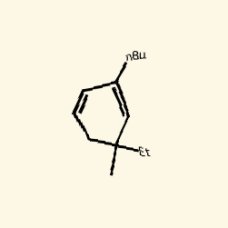 CCCCC1=CC(C)(CC)CC=C1